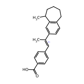 C/C(=C\c1ccc(C(=O)O)cc1)c1ccc2c(c1)C(C)CCCC2